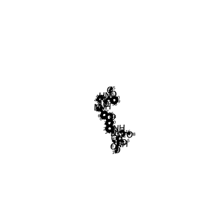 CC[C@@](COC)(NC(=O)OC)C(=O)N1C[C@@H](COC)C[C@H]1c1nc2ccc3cc4c(cc3c2[nH]1)OCc1cc(-c2cnc([C@@H]3CCCN3C(=O)[C@H](NC(=O)OC)c3ccccc3)[nH]2)ccc1-4